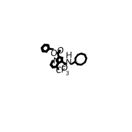 O=C(NCC1CCCCCCCC1)c1cc(C(=O)OCc2ccccc2)n2cccc(C(F)(F)F)c12